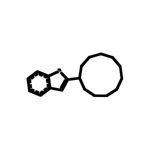 C1=C(C2CCCCCCCCCC2)[P]c2ccccc21